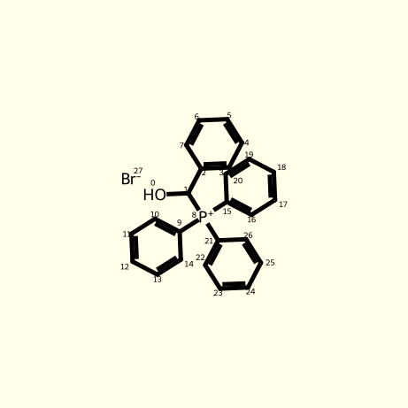 OC(c1ccccc1)[P+](c1ccccc1)(c1ccccc1)c1ccccc1.[Br-]